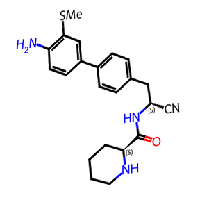 CSc1cc(-c2ccc(C[C@@H](C#N)NC(=O)[C@@H]3CCCCN3)cc2)ccc1N